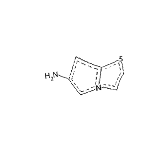 Nc1cc2sccn2c1